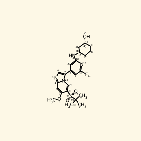 COc1cc2ncc(-c3cc(F)nc(N[C@@H]4CCC[C@@H](O)C4)c3)n2cc1S(=O)(=O)C(C)(C)C